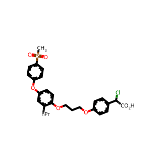 CCCc1cc(Oc2ccc(S(C)(=O)=O)cc2)ccc1OCCCOc1ccc(C(Cl)C(=O)O)cc1